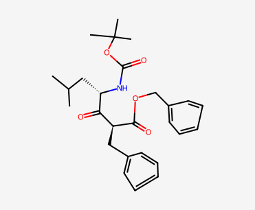 CC(C)C[C@H](NC(=O)OC(C)(C)C)C(=O)[C@H](Cc1ccccc1)C(=O)OCc1ccccc1